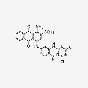 Nc1c(S(=O)(=O)O)cc(Nc2ccc(S)c(Nc3nc(Cl)nc(Cl)n3)c2)c2c1C(=O)c1ccccc1C2=O